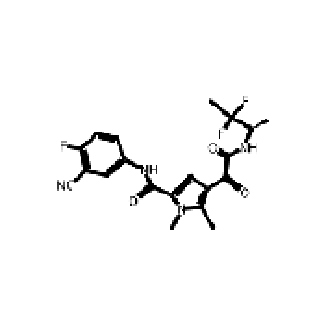 Cc1c(C(=O)C(=O)N[C@H](C)C(C)(F)F)cc(C(=O)Nc2ccc(F)c(C#N)c2)n1C